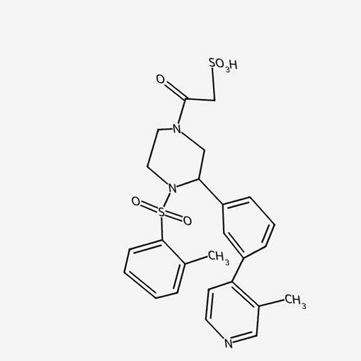 Cc1cnccc1-c1cccc(C2CN(C(=O)CS(=O)(=O)O)CCN2S(=O)(=O)c2ccccc2C)c1